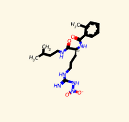 Cc1ccccc1C(=O)N[C@@H](CCCNC(=N)N[N+](=O)[O-])C(=O)NCCC(C)C